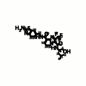 CC(C)C[C@@H](CO)NC(=O)c1c(C(F)(F)F)nc2c(C(=O)NCc3ccc4nc(N)sc4c3)cccn12